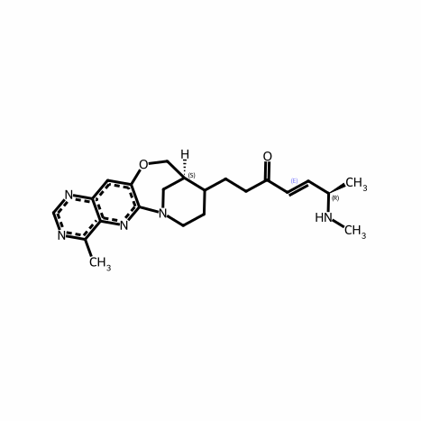 CN[C@H](C)/C=C/C(=O)CCC1CCN2C[C@H]1COc1cc3ncnc(C)c3nc12